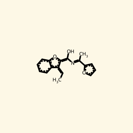 CC=c1/c(=C(O)\N=C(/C)c2ccco2)oc2ccccc12